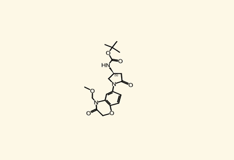 COCN1C(=O)COc2ccc(N3C[C@@H](NC(=O)OC(C)(C)C)CC3=O)cc21